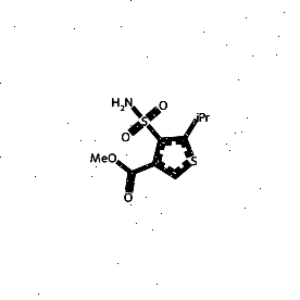 COC(=O)c1csc(C(C)C)c1S(N)(=O)=O